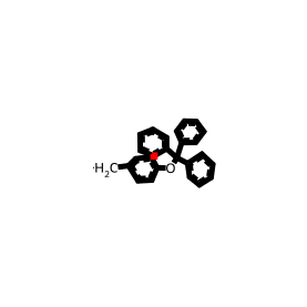 [CH2]c1ccc(OC(c2ccccc2)(c2ccccc2)c2ccccc2)cc1